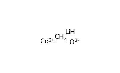 C.[Co+2].[LiH].[O-2]